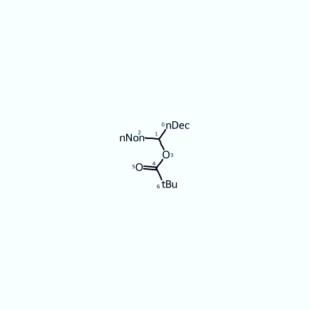 CCCCCCCCCCC(CCCCCCCCC)OC(=O)C(C)(C)C